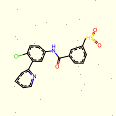 O=C(Nc1ccc(Cl)c(-c2ccccn2)c1)c1cccc(C[SH](=O)=O)c1